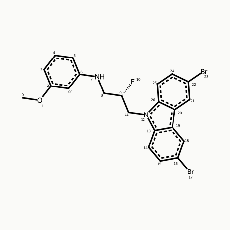 COc1cccc(NC[C@H](F)Cn2c3ccc(Br)cc3c3cc(Br)ccc32)c1